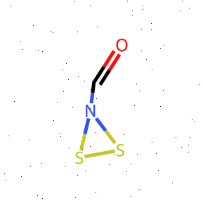 O=Cn1ss1